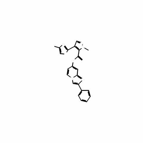 Cc1csc(-c2cnn(C)c2C(=O)Nc2ccn3cc(-c4ccccc4)nc3c2)n1